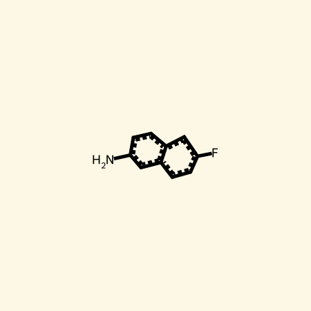 Nc1ccc2cc(F)ccc2c1